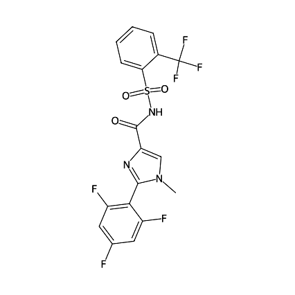 Cn1cc(C(=O)NS(=O)(=O)c2ccccc2C(F)(F)F)nc1-c1c(F)cc(F)cc1F